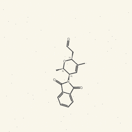 CC1=C[C@@H](N2C(=O)c3ccccc3C2=O)[C@@H](C)O[C@H]1CC=O